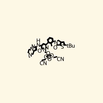 Cc1c(-c2cc(Nc3cc4n(n3)CCN(C)C4)c(=O)n(COP(=O)(OCCC#N)OCCC#N)n2)cccc1N1Cc2cc(C(C)(C)C)sc2C1=O